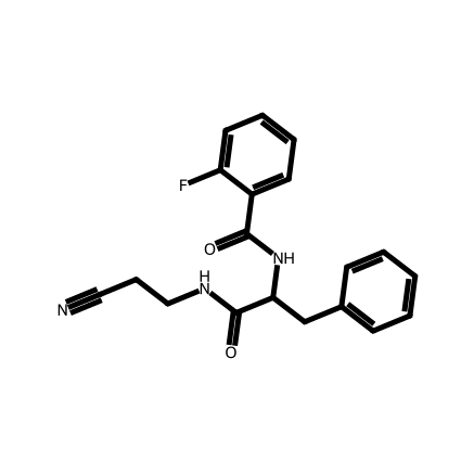 N#CCCNC(=O)C(Cc1ccccc1)NC(=O)c1ccccc1F